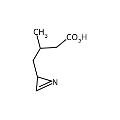 CC(CC(=O)O)CC1C=N1